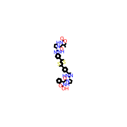 COC(=O)N[C@H](C(=O)N1CCC[C@H]1c1nc2ccc(-c3csc4c(-c5ccc(-c6cnc([C@@H]7CCCN7C(=O)[C@H](NC(=O)O)c7ccccc7)[nH]6)cc5)csc34)cc2[nH]1)C(C)C